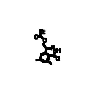 CCC(=O)OCc1n[nH]c(=O)c2c(C)cc(C)cc12